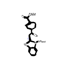 CCCCCN1/C(=C\C(=O)c2ccc(C(=O)OC)cc2)Sc2ccccc21